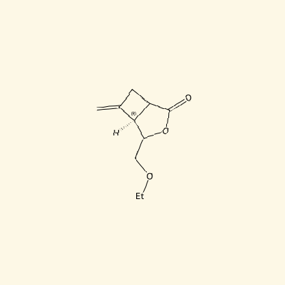 C=C1CC2C(=O)OC(COCC)[C@@H]12